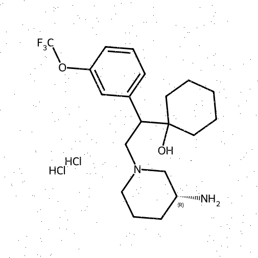 Cl.Cl.N[C@@H]1CCCN(CC(c2cccc(OC(F)(F)F)c2)C2(O)CCCCC2)C1